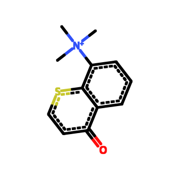 C[N+](C)(C)c1cccc2c(=O)ccsc12